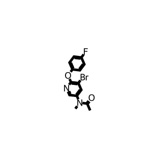 CC(=O)N(C)c1cnc(Oc2ccc(F)cc2)c(Br)c1